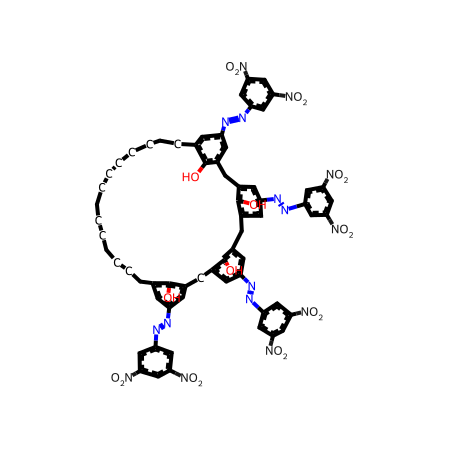 O=[N+]([O-])c1cc(N=Nc2cc3c(O)c(c2)Cc2cc(N=Nc4cc([N+](=O)[O-])cc([N+](=O)[O-])c4)cc(c2O)Cc2cc(N=Nc4cc([N+](=O)[O-])cc([N+](=O)[O-])c4)cc(c2O)Cc2cc(N=Nc4cc([N+](=O)[O-])cc([N+](=O)[O-])c4)cc(c2O)CCCCCCCCCCCCCC3)cc([N+](=O)[O-])c1